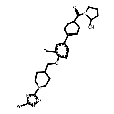 CC(C)c1noc(N2CCC(COc3ccc(C4=CCC(C(=O)N5CCCC5C#N)CC4)cc3F)CC2)n1